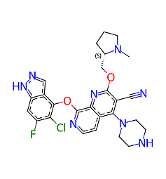 CN1CCC[C@H]1COc1nc2c(Oc3c(Cl)c(F)cc4[nH]ncc34)nccc2c(N2CCNCC2)c1C#N